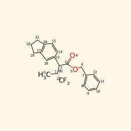 C[C@H](C(C(=O)OCc1ccccc1)c1ccc2c(c1)CCC2)C(F)(F)F